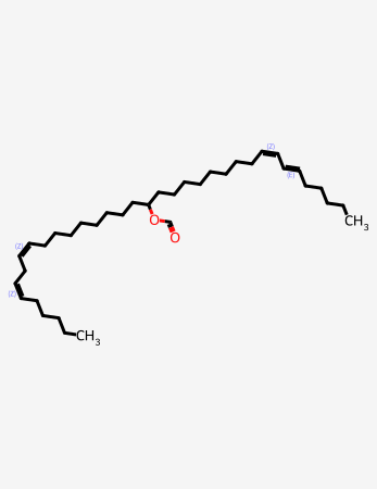 CCCCC/C=C\C/C=C\CCCCCCCCC(CCCCCCCC/C=C\C=C\CCCCC)OC=O